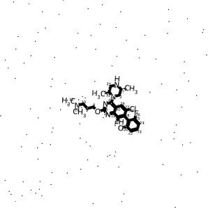 C[C@@H]1CN(c2nc(OCCCN(C)C)nc3c(F)c(-c4c(O)cccc4F)c(Cl)cc23)[C@@H](C)CN1